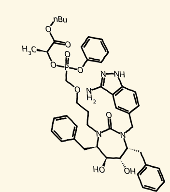 CCCCOC(=O)[C@H](C)OP(=O)(COCCCN1C(=O)N(Cc2ccc3[nH]nc(N)c3c2)[C@H](Cc2ccccc2)[C@H](O)[C@@H](O)[C@H]1Cc1ccccc1)Oc1ccccc1